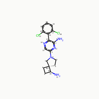 Nc1nc(N2CC[C@]3(CC[C@@H]3N)C2)cnc1-c1c(Cl)cccc1Cl